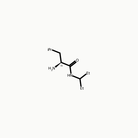 CCC(CC)NC(=O)[C@@H](N)CC(C)C